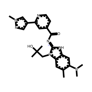 Cc1cc2c(cc1N(C)C)[nH]/c(=N\C(=O)c1ccnc(-c3cnn(C)c3)c1)n2CC(C)(C)O